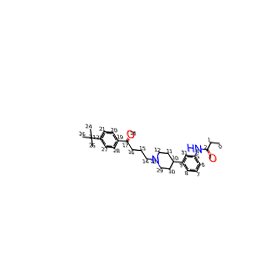 CCC(=O)Nc1cccc(C2CCN(CCCC(=O)c3ccc(C(C)(C)C)cc3)CC2)c1